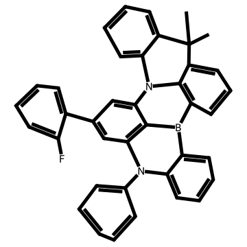 CC1(C)c2ccccc2N2c3cc(-c4ccccc4F)cc4c3B(c3ccccc3N4c3ccccc3)c3cccc1c32